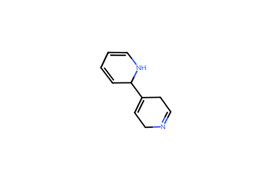 C1=CNC(C2=CCN=CC2)C=C1